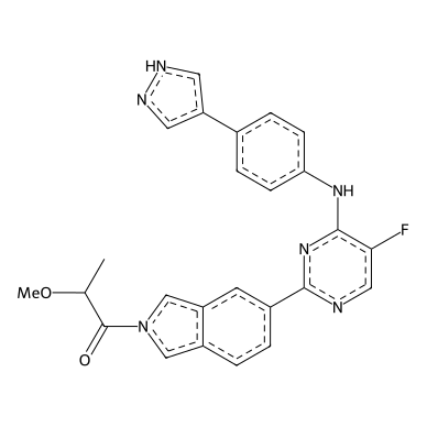 COC(C)C(=O)n1cc2ccc(-c3ncc(F)c(Nc4ccc(-c5cn[nH]c5)cc4)n3)cc2c1